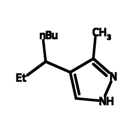 CCCCC(CC)c1c[nH]nc1C